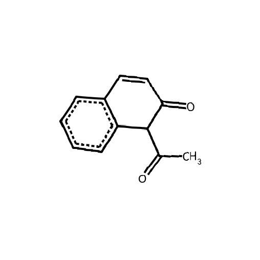 CC(=O)C1C(=O)C=Cc2ccccc21